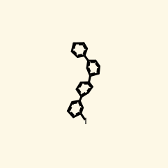 Ic1cccc(-c2ccc(-c3cccc(-c4ccccc4)c3)cc2)c1